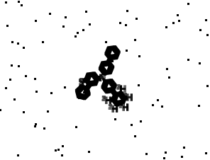 [2H]c1c([2H])c([2H])c(-c2ccc(N(c3ccc(-c4ccccc4)cc3)c3ccc4sc5ccccc5c4c3)cc2)c([2H])c1[2H]